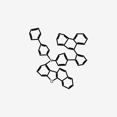 c1ccc(-c2ccc(N(c3ccc(-c4ccccc4-c4cc5ccccc5c5ccccc45)cc3)c3cccc4oc5c6ccccc6ccc5c34)cc2)cc1